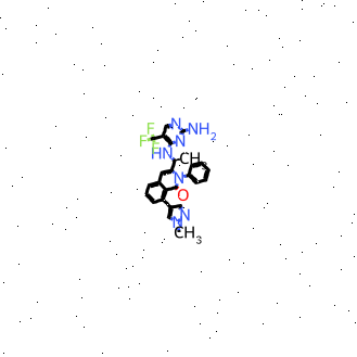 C[C@H](Nc1nc(N)ncc1C(F)(F)F)c1cc2cccc(-c3cnn(C)c3)c2c(=O)n1-c1ccccc1